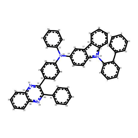 c1ccc(-c2ccccc2-n2c3ccccc3c3cc(N(c4ccccc4)c4ccc(-c5nc6ccccc6nc5-c5ccccc5)cc4)ccc32)cc1